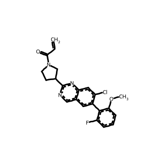 C=CC(=O)N1CCC(c2ncc3cc(-c4c(F)cccc4OC)c(Cl)cc3n2)C1